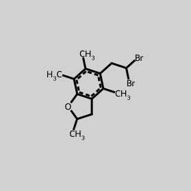 Cc1c(C)c2c(c(C)c1CC(Br)Br)CC(C)O2